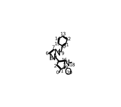 Cc1cc(-c2nccn2Cc2ccccc2)cn(C)c1=O